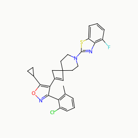 Cc1cccc(Cl)c1-c1noc(C2CC2)c1C1=CC2(CCN(c3nc4c(F)cccc4s3)CC2)C1